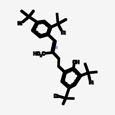 CCC(C)(C)c1ccc(/C=C(/CCc2cc(C(C)(C)CC)cc(C(C)(C)CC)c2O)C(=O)O)c(C(C)(C)CC)c1